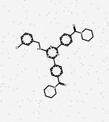 O=C(c1ccc(-c2nc(NCc3cccc(Cl)c3)nc(-c3ccc(C(=O)N4CCCCC4)cc3)n2)cc1)N1CCCCC1